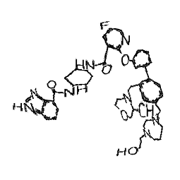 C[C@H]1COCCN1Cc1cc(CN2CCCN(CCO)CC2)ccc1-c1cccc(Oc2ncc(F)cc2C(=O)N[C@H]2CC[C@@H](NC(=O)c3cccc4[nH]cnc34)CC2)c1